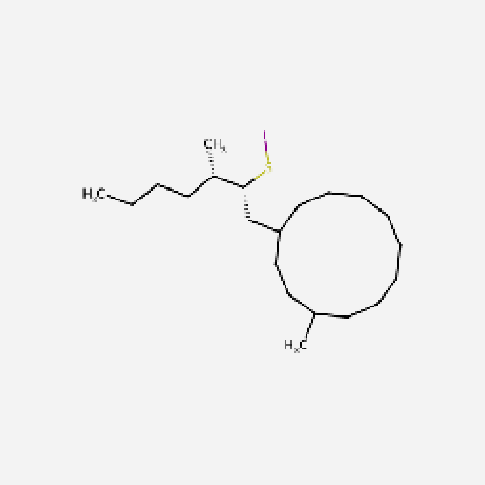 CCCC[C@H](C)[C@@H](CC1CCCCCCCCC(C)CC1)SI